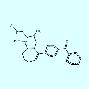 CNCCN(C)CC1=C(NN)CCCC=C1c1ccc(C(=O)c2ccccc2)cc1